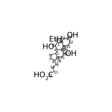 CC[C@H]1[C@@H](O)C2C3CC[C@H](CCCC(=O)O)[C@@]3(C)C[C@H](O)C2[C@@]2(C)CC[C@@H](O)C[C@@H]12